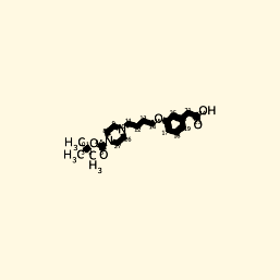 CC(C)(C)OC(=O)N1CCN(CCCCOc2cccc(CC(=O)O)c2)CC1